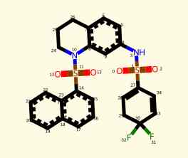 O=S(=O)(Nc1ccc2c(c1)N(S(=O)(=O)c1cccc3ccccc13)CCC2)C1=CCC(F)(F)C=C1